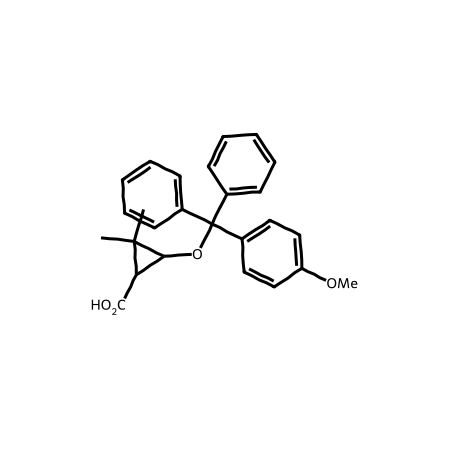 COc1ccc(C(OC2C(C(=O)O)C2(C)C)(c2ccccc2)c2ccccc2)cc1